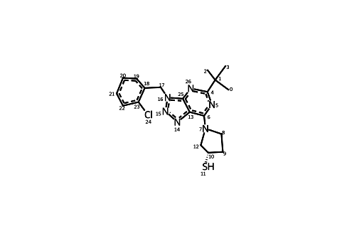 CC(C)(C)c1nc(N2CC[C@H](S)C2)c2nnn(Cc3ccccc3Cl)c2n1